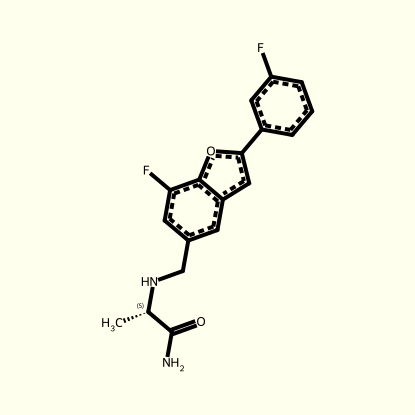 C[C@H](NCc1cc(F)c2oc(-c3cccc(F)c3)cc2c1)C(N)=O